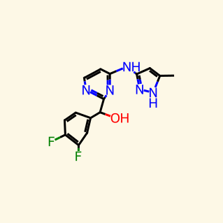 Cc1cc(Nc2ccnc(C(O)c3ccc(F)c(F)c3)n2)n[nH]1